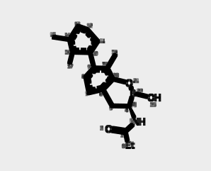 CCC(=O)N[C@H]1Cc2ccc(-c3cccc(C)c3C)c(C)c2OB1O